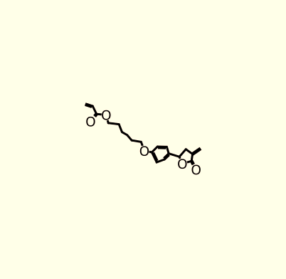 C=CC(=O)OCCCCCCOc1ccc(C2CC(=C)C(=O)O2)cc1